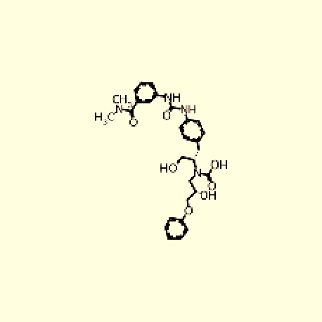 CN(C)C(=O)c1cccc(NC(=O)Nc2ccc(C[C@@H](CO)N(C[C@H](O)COc3ccccc3)C(=O)O)cc2)c1